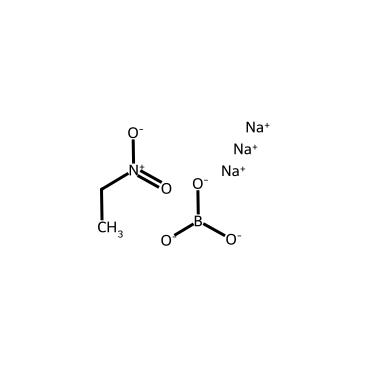 CC[N+](=O)[O-].[Na+].[Na+].[Na+].[O-]B([O-])[O-]